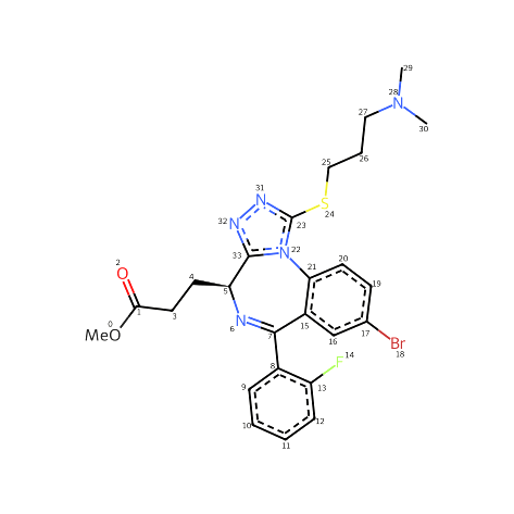 COC(=O)CC[C@@H]1N=C(c2ccccc2F)c2cc(Br)ccc2-n2c(SCCCN(C)C)nnc21